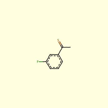 CC(=S)c1cccc(F)c1